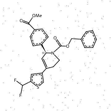 COC(=O)c1ccc([C@@H]2C=C(c3csc(C(F)F)c3)CCN2C(=O)OCc2ccccc2)cc1